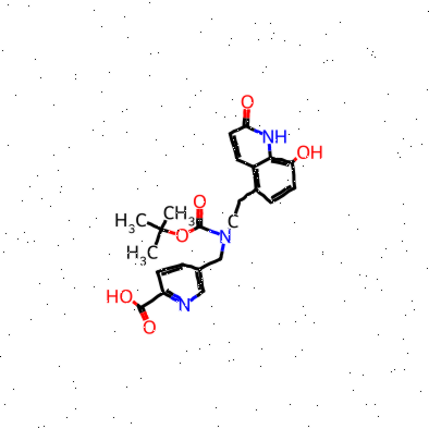 CC(C)(C)OC(=O)N(CCc1ccc(O)c2[nH]c(=O)ccc12)Cc1ccc(C(=O)O)nc1